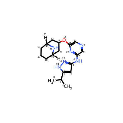 CC(C)c1cc(Nc2cncc(OC3C[C@H]4CCC[C@@H](C3)N4)n2)n[nH]1